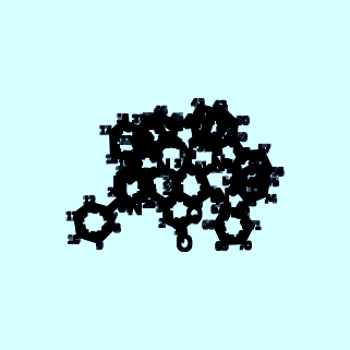 O=c1cc(-c2nc(-c3ccccc3)nc(-c3ccccc3)n2)c2c(-n3c4ccccc4c4ccccc43)c(-n3c4ccccc4c4ccccc43)c(-n3c4ccccc4c4ccccc43)c(-n3c4ccccc4c4ccccc43)c2o1